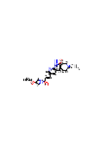 CCCCOC1CN(C(=O)/C=C/c2cnc3c(c2)CC2(CCN(C)CC2)C(=O)N3)C1